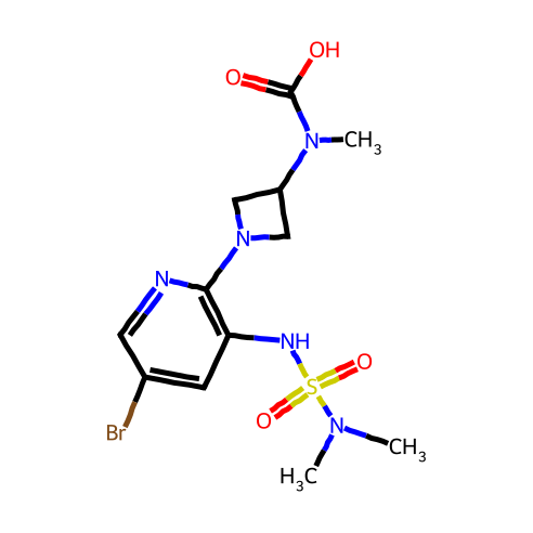 CN(C(=O)O)C1CN(c2ncc(Br)cc2NS(=O)(=O)N(C)C)C1